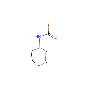 S=C(S)NC1C=CCCC1